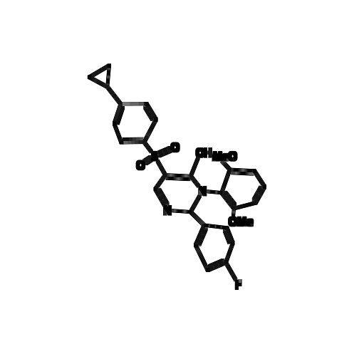 COc1cccc(OC)c1N1C(O)=C(S(=O)(=O)c2ccc(C3CC3)cc2)C=NC1c1ccc(F)cc1